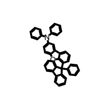 c1ccc(N(c2ccccc2)c2ccc3oc4c(C5(c6ccccc6)c6ccccc6-c6ccccc65)cccc4c3c2)cc1